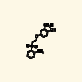 Cc1ccccc1S(=O)(=O)CCOc1ccc(O)c(C(=O)O)c1